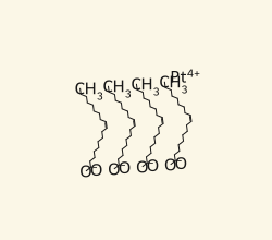 CCCCCCCC/C=C\CCCCCCCC(=O)[O-].CCCCCCCC/C=C\CCCCCCCC(=O)[O-].CCCCCCCC/C=C\CCCCCCCC(=O)[O-].CCCCCCCC/C=C\CCCCCCCC(=O)[O-].[Pt+4]